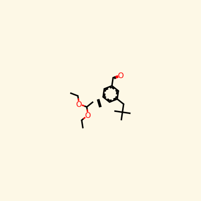 C=C.CC(C)(C)Cc1cccc(C=O)c1.CCOC(C)OCC